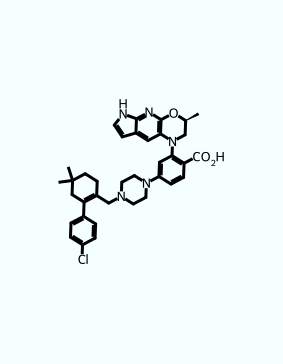 C[C@H]1CN(c2cc(N3CCN(CC4=C(c5ccc(Cl)cc5)CC(C)(C)CC4)CC3)ccc2C(=O)O)c2cc3cc[nH]c3nc2O1